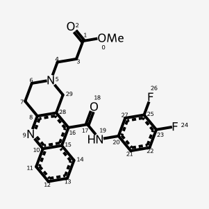 COC(=O)CCN1CCc2nc3ccccc3c(C(=O)Nc3ccc(F)c(F)c3)c2C1